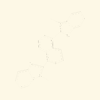 Cn1c(-c2cccc3c(-c4nc5ccccc5n4C)cccc23)nc2ccccc21